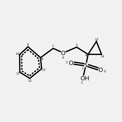 O=S(=O)(O)C1(COCc2ccccc2)CC1